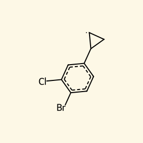 Clc1cc(C2[CH]C2)ccc1Br